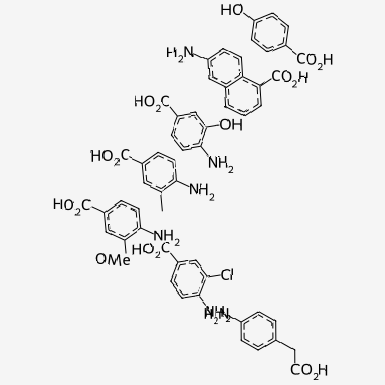 COc1cc(C(=O)O)ccc1N.Cc1cc(C(=O)O)ccc1N.Nc1ccc(C(=O)O)cc1Cl.Nc1ccc(C(=O)O)cc1O.Nc1ccc(CC(=O)O)cc1.Nc1ccc2c(C(=O)O)cccc2c1.O=C(O)c1ccc(O)cc1